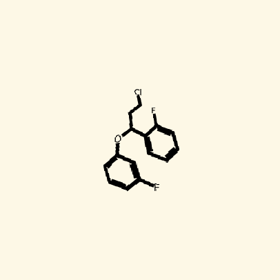 Fc1cccc(OC(CCCl)c2ccccc2F)c1